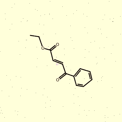 CCOC(=O)/C=C/C(=O)c1ccccc1